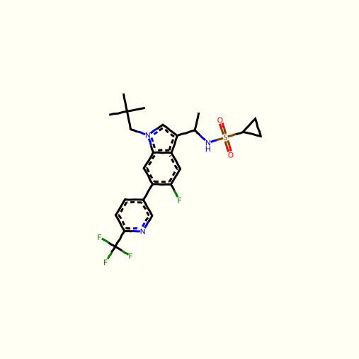 CC(NS(=O)(=O)C1CC1)c1cn(CC(C)(C)C)c2cc(-c3ccc(C(F)(F)F)nc3)c(F)cc12